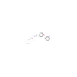 CC1CCC(CC(=O)N/C(=C/c2ccc(Oc3ccccc3I)cc2)C(=O)O)CC1